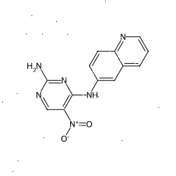 Nc1ncc([N+](=O)[O-])c(Nc2ccc3ncccc3c2)n1